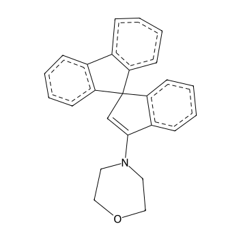 C1=C(N2CCOCC2)c2ccccc2C12c1ccccc1-c1ccccc12